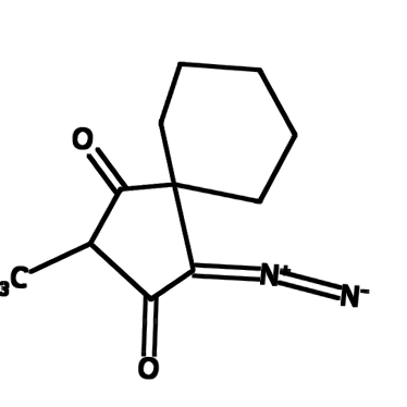 CC1C(=O)C(=[N+]=[N-])C2(CCCCC2)C1=O